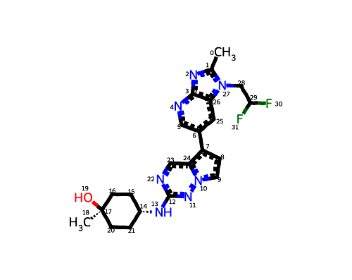 Cc1nc2ncc(-c3ccn4nc(N[C@H]5CC[C@](C)(O)CC5)ncc34)cc2n1CC(F)F